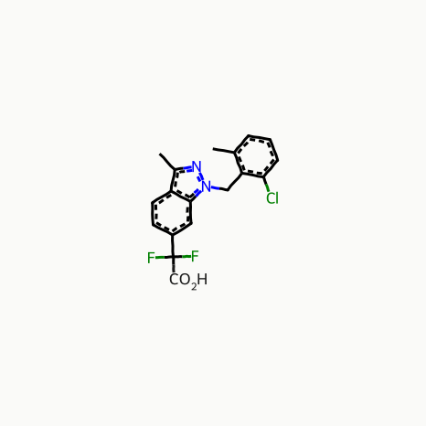 Cc1cccc(Cl)c1Cn1nc(C)c2ccc(C(F)(F)C(=O)O)cc21